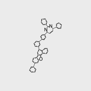 C1=CC(c2ccccc2)N=C(c2ccccc2)N=C1c1ccc(-c2cccc(-c3cc4c5ccc(-c6ccccc6)cc5oc4c4ccccc34)c2)cc1